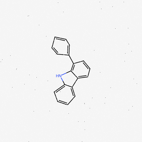 [c]1ccccc1-c1cccc2c1[nH]c1ccccc12